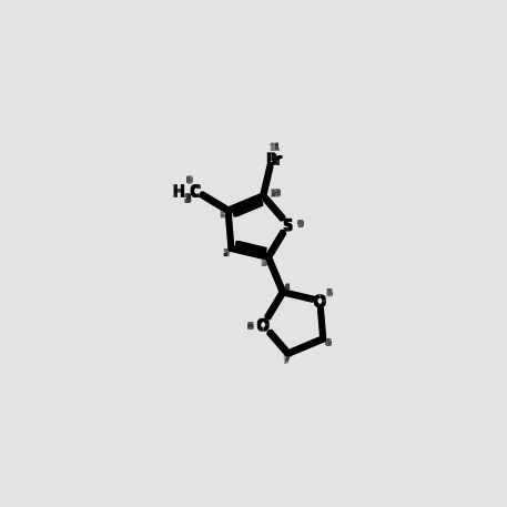 Cc1cc(C2OCCO2)sc1Br